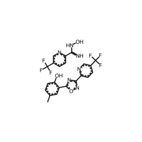 Cc1ccc(O)c(-c2nc(-c3ccc(C(F)(F)F)cn3)no2)c1.N=C(NO)c1ccc(C(F)(F)F)cn1